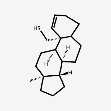 C[C@@]12CCC[C@H]1[C@@H]1CCC3CCC=C[C@]3(CS)[C@@H]1CC2